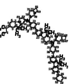 CCC(C)c1ccc2c(c1)C(C)(C)c1cc(N(c3ccc(-c4ccc5c(c4)C(C)(C)c4cc(N(c6ccc(-c7ccc8c(c7)C(C)(C)c7cc(-c9ccccc9)ccc7-8)cc6)c6ccc7c(c6)CC7)ccc4-5)cc3)c3ccc4c(c3)CC4)ccc1-2